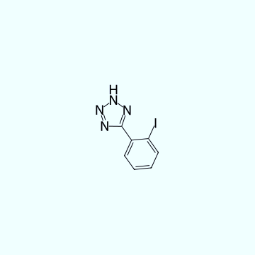 Ic1ccccc1-c1nn[nH]n1